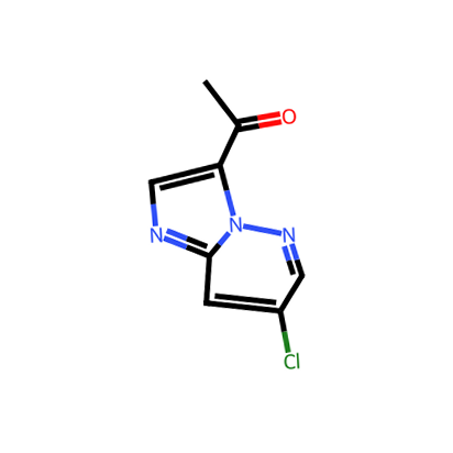 CC(=O)c1cnc2cc(Cl)cnn12